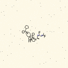 C=C(/C=C(F)\C=C(/C)F)[C@@H]1CC[C@H]2OC3(CCN(C(=O)C4CCCC4)CC3)C(=O)N21